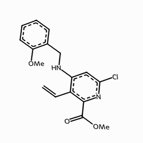 C=Cc1c(NCc2ccccc2OC)cc(Cl)nc1C(=O)OC